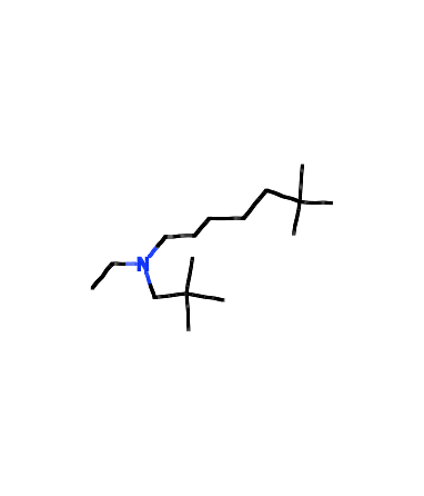 CCN(CCCCCC(C)(C)C)CC(C)(C)C